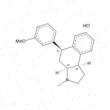 COc1cccc([C@@H]2C[C@H]3[C@H](CCN3C)c3ccccc32)c1.Cl